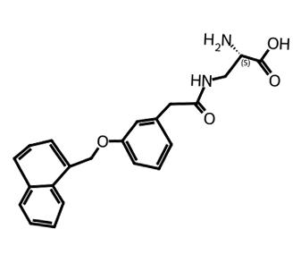 N[C@@H](CNC(=O)Cc1cccc(OCc2cccc3ccccc23)c1)C(=O)O